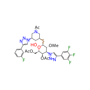 CO[C@@H]1[C@@H](n2cc(-c3cc(F)c(F)c(F)c3)nn2)[C@@H](OC(C)=O)[C@@H](COC(C)=O)O[C@H]1S[C@@H]1CN(C(C)=O)C[C@H](n2cc(-c3cccc(F)c3)nn2)[C@H]1O